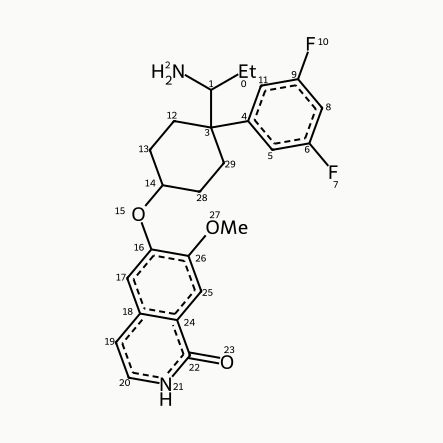 CCC(N)C1(c2cc(F)cc(F)c2)CCC(Oc2cc3cc[nH]c(=O)c3cc2OC)CC1